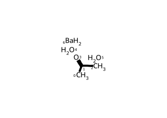 CC(C)=O.O.O.[BaH2]